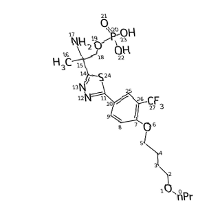 CCCOCCCCOc1ccc(-c2nnc(C(C)(N)COP(=O)(O)O)s2)cc1C(F)(F)F